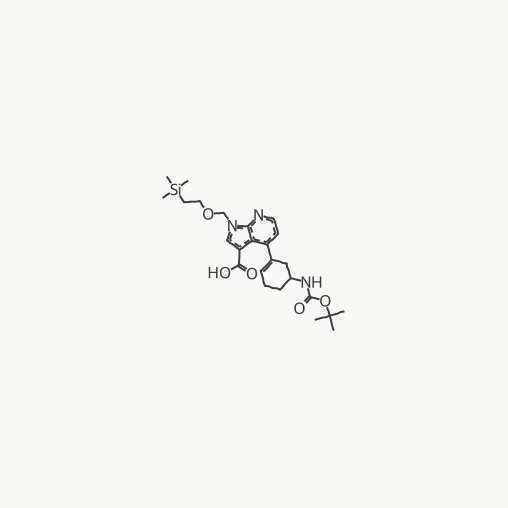 CC(C)(C)OC(=O)NC1CCC=C(c2ccnc3c2c(C(=O)O)cn3COCC[Si](C)(C)C)C1